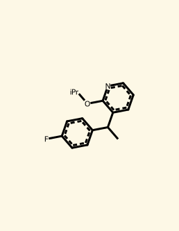 CC(C)Oc1ncccc1C(C)c1ccc(F)cc1